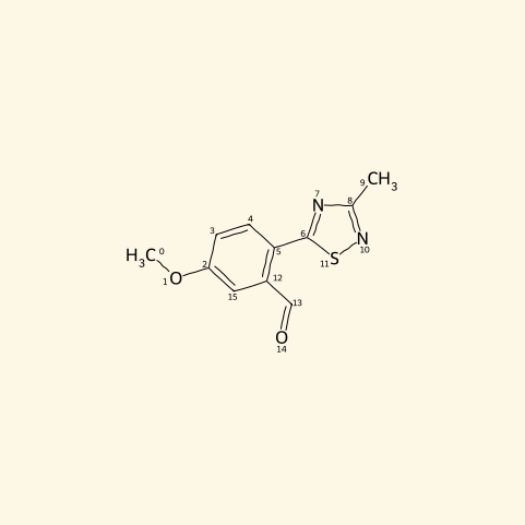 COc1ccc(-c2nc(C)ns2)c(C=O)c1